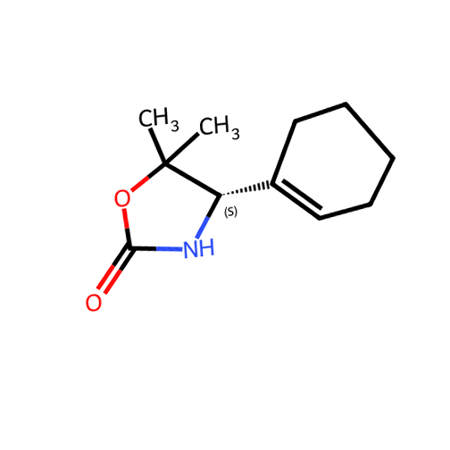 CC1(C)OC(=O)N[C@H]1C1=CCCCC1